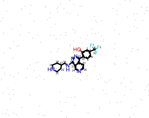 Oc1cc(C(F)(F)F)ccc1-c1nnc(NCC2CCNCC2)c2cnccc12